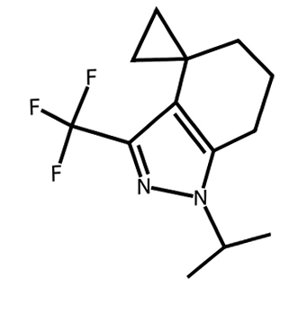 CC(C)n1nc(C(F)(F)F)c2c1CCCC21CC1